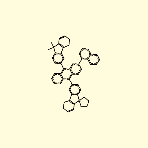 CC1(C)C2=C(CCC=C2)c2cc(-c3c4ccccc4c(-c4ccc5c(c4)C4=C(C=CCC4)[Si]54CCCC4)c4ccc(-c5cccc6ccccc56)cc34)ccc21